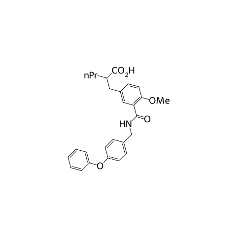 CCCC(Cc1ccc(OC)c(C(=O)NCc2ccc(Oc3ccccc3)cc2)c1)C(=O)O